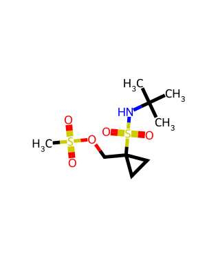 CC(C)(C)NS(=O)(=O)C1(COS(C)(=O)=O)CC1